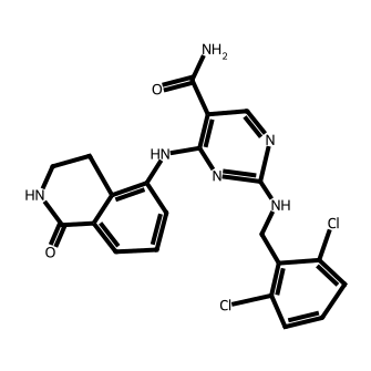 NC(=O)c1cnc(NCc2c(Cl)cccc2Cl)nc1Nc1cccc2c1CCNC2=O